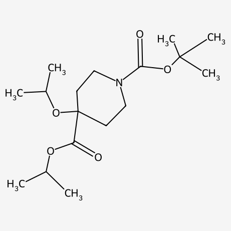 CC(C)OC(=O)C1(OC(C)C)CCN(C(=O)OC(C)(C)C)CC1